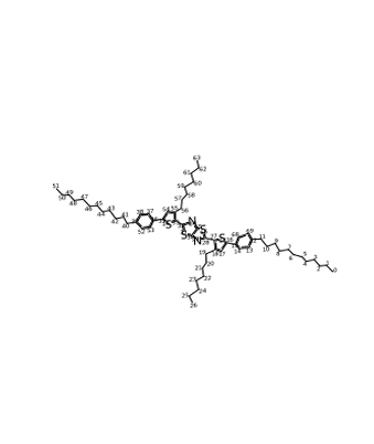 CCCCCCCCCCCCc1ccc(-c2cc(CCCCCCCC)c(-c3nc4sc(-c5sc(-c6ccc(CCCCCCCCCCCC)cc6)cc5CCCCCCCC)nc4s3)s2)cc1